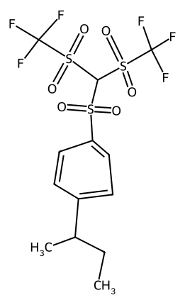 CCC(C)c1ccc(S(=O)(=O)C(S(=O)(=O)C(F)(F)F)S(=O)(=O)C(F)(F)F)cc1